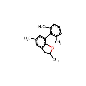 Cc1cc2c(c(-c3c(C)cccc3C)c1)OC(C)C2